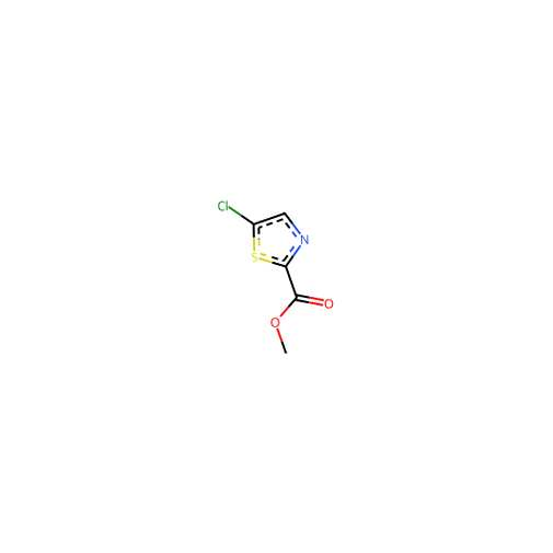 COC(=O)c1ncc(Cl)s1